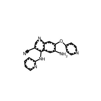 N#Cc1cnc2cc(Oc3ccncc3)c(N)cc2c1Nc1ccccn1